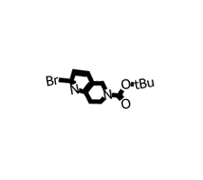 CC(C)(C)OC(=O)N1CCc2nc(Br)ccc2C1